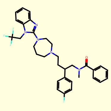 CN(CC(CCN1CCCN(c2nc3ccccc3n2CC(F)(F)F)CC1)c1ccc(F)cc1)C(=O)c1ccccc1